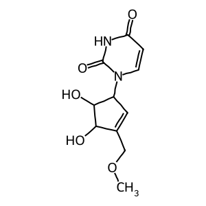 COCC1=CC(n2ccc(=O)[nH]c2=O)C(O)C1O